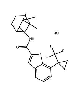 CC1(C)C(NC(=O)c2cc3cccc(C4(C(F)(F)F)CC4)c3s2)C2CCN1CC2.Cl